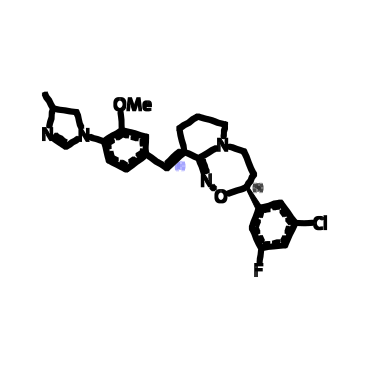 COc1cc(/C=C2\CCCN3CC[C@@H](c4cc(F)cc(Cl)c4)ON=C23)ccc1N1C=NC(C)C1